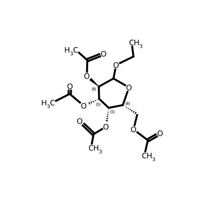 CCOC1O[C@H](COC(C)=O)[C@H](OC(C)=O)[C@H](OC(C)=O)[C@H]1OC(C)=O